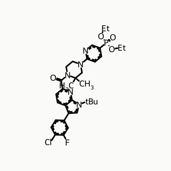 CCOP(=O)(OCC)c1ccc(N2CCN(C(=O)c3ccc4c(-c5ccc(Cl)c(F)c5)cn(C(C)(C)C)c4n3)C(C)(C)C2)nc1